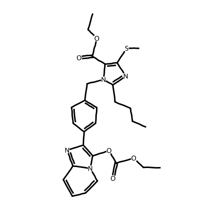 CCCCc1nc(SC)c(C(=O)OCC)n1Cc1ccc(-c2nc3ccccn3c2OC(=O)OCC)cc1